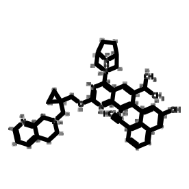 C#Cc1cccc2cc(O)cc(-c3c(C(C)C)cc4c(N5CC6CCC(C5)N6)nc(OCC5(CN6CCc7cccnc7C6)CC5)nc4c3F)c12